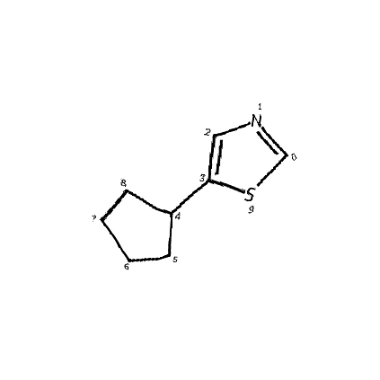 c1ncc(C2CCCC2)s1